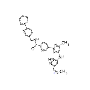 C/N=C\c1cc(Nc2cc(C)nc(-c3ccc(C(=O)NCc4ccc(-c5ccccc5)nc4)nc3)n2)[nH]n1